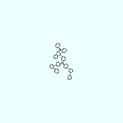 c1ccc(-c2cccc(-c3ccc(N(c4ccc(-c5ccccc5-c5ccccc5)cc4)c4cccc(-c5c6ccccc6cc6c5c5ccccc5n6-c5ccccc5)c4)cc3)c2)cc1